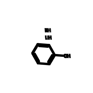 Oc1ccccc1.[KH].[LiH]